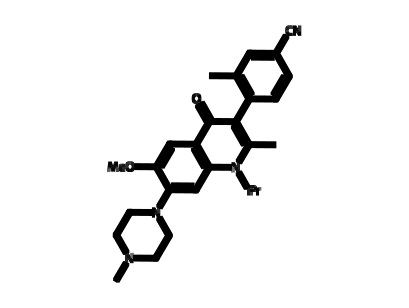 COc1cc2c(=O)c(-c3ccc(C#N)cc3C)c(C)n(C(C)C)c2cc1N1CCN(C)CC1